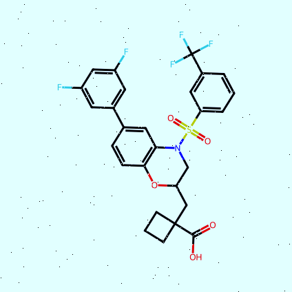 O=C(O)C1(CC2CN(S(=O)(=O)c3cccc(C(F)(F)F)c3)c3cc(-c4cc(F)cc(F)c4)ccc3O2)CCC1